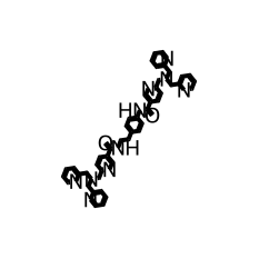 O=C(NCCc1ccc(NC(=O)c2ccc(CN(Cc3ccccn3)Cc3ccccn3)nc2)cc1)c1ccc(CN(Cc2ccccn2)Cc2ccccn2)nc1